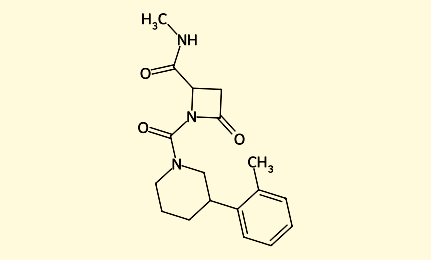 CNC(=O)C1CC(=O)N1C(=O)N1CCCC(c2ccccc2C)C1